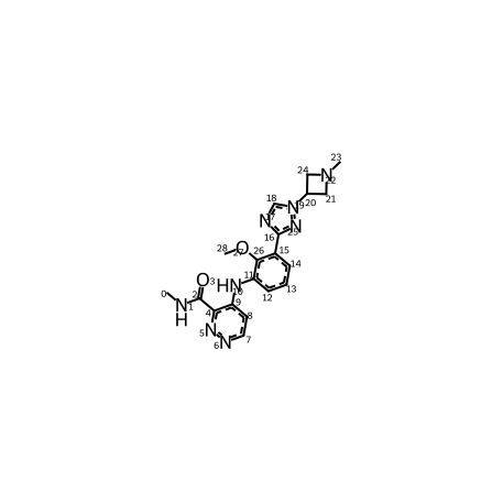 CNC(=O)c1nnccc1Nc1cccc(-c2ncn(C3CN(C)C3)n2)c1OC